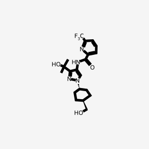 CC(C)(O)c1nn([C@H]2CC[C@H](CO)CC2)cc1NC(=O)c1cccc(C(F)(F)F)n1